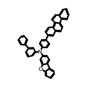 c1ccc(-c2cccc(N(c3ccc(-c4ccc5c(ccc6c7ccccc7ccc56)c4)cc3)c3ccc4c(c3)oc3ccccc34)c2)cc1